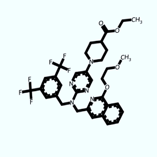 CCOC(=O)C1CCN(c2cnc(N(Cc3cc(C(F)(F)F)cc(C(F)(F)F)c3)Cc3cc4ccccc4c(OCCOC)n3)nc2)CC1